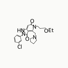 CCOCCCn1c(CN2CCCC2)c2c(=O)n(-c3cccc(Cl)c3)[nH]c2cc1=O